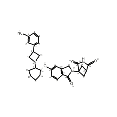 N#Cc1cccc(C2CN(C3CCCC[C@H]3Oc3ccc4c(c3)CN(C35CC(C3)C(=O)NC5=O)C4=O)C2)c1